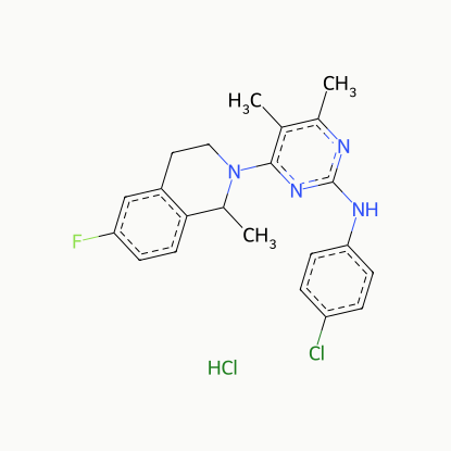 Cc1nc(Nc2ccc(Cl)cc2)nc(N2CCc3cc(F)ccc3C2C)c1C.Cl